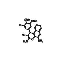 COc1cc(C2C(C#N)=C(N)Oc3c(N)cc4ccccc4c32)cc(Br)c1OC